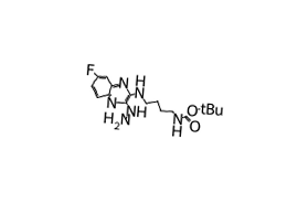 CC(C)(C)OC(=O)NCCCCNc1nc2cc(F)ccc2nc1NN